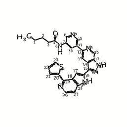 CCCCC(=O)Nc1cncc(-c2cc3c(-c4cc5c(-c6cccs6)nccc5[nH]4)n[nH]c3cn2)c1